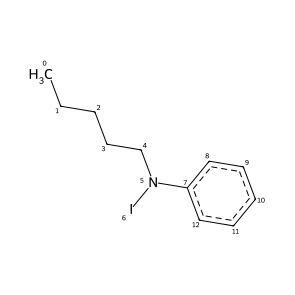 CCCCCN(I)c1ccccc1